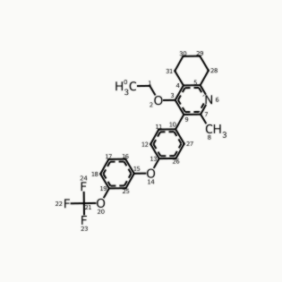 CCOc1c2c(nc(C)c1-c1ccc(Oc3cccc(OC(F)(F)F)c3)cc1)CCCC2